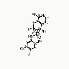 O=C(Nc1cc(Cl)c(I)cc1F)N1[C@H]2CC[C@@H]1c1ccnc(F)c1C2